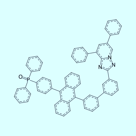 O=P(c1ccccc1)(c1ccccc1)c1ccc(-c2c3ccccc3c(-c3cccc(-c4cccc(-c5nc6c(-c7ccccc7)cc(-c7ccccc7)cn6n5)c4)c3)c3ccccc23)cc1